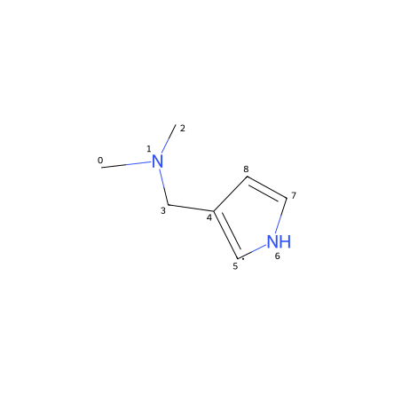 CN(C)Cc1[c][nH]cc1